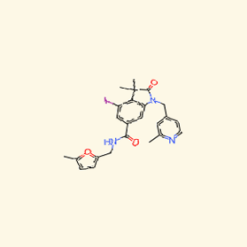 Cc1cc(CN2C(=O)C(C)(C)c3c(I)cc(C(=O)NCc4ccc(C)o4)cc32)ccn1